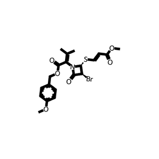 COC(=O)/C=C/S[C@@H]1[C@@H](Br)C(=O)N1C(C(=O)OCc1ccc(OC)cc1)=C(C)C